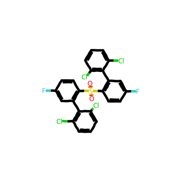 O=S(=O)(c1ccc(F)cc1-c1c(Cl)cccc1Cl)c1ccc(F)cc1-c1c(Cl)cccc1Cl